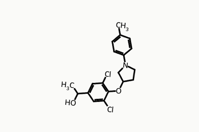 Cc1ccc(N2CCC(Oc3c(Cl)cc(C(C)O)cc3Cl)C2)cc1